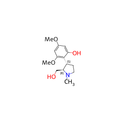 COc1cc(O)c([C@@H]2CCN(C)[C@H]2CO)c(OC)c1